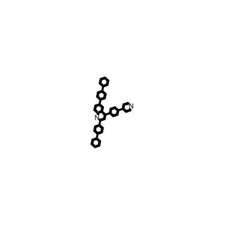 c1ccc(-c2ccc(-c3ccc4nc(-c5ccc(-c6ccccc6)cc5)cc(-c5ccc(-c6ccncc6)cc5)c4c3)cc2)cc1